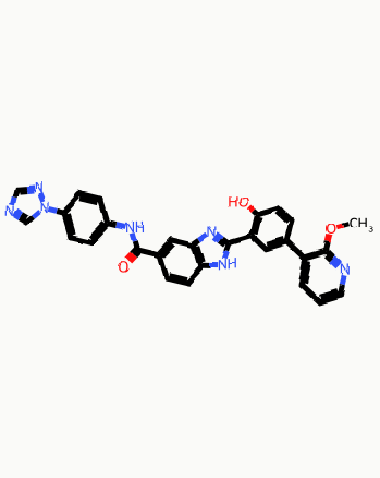 COc1ncccc1-c1ccc(O)c(-c2nc3cc(C(=O)Nc4ccc(-n5cncn5)cc4)ccc3[nH]2)c1